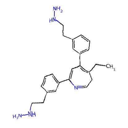 CCC1=C(c2cccc(CCNN)c2)C=C(c2cccc(CCNN)c2)N=CC1